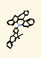 CC1(C)c2cc(N(c3ccc4ccccc4c3-c3cccc4ccccc34)c3cccc4ccccc34)ccc2-c2cc3ccccc3cc21